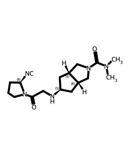 [C-]#[N+][C@@H]1CCCN1C(=O)CN[C@H]1C[C@@H]2CN(C(=O)N(C)C)C[C@@H]2C1